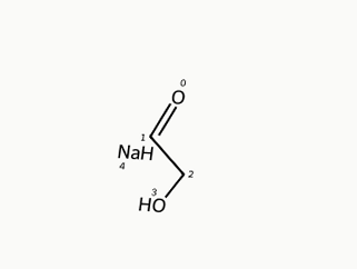 O=CCO.[NaH]